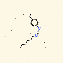 CCCCCCN=C=Nc1ccc(CC)cc1